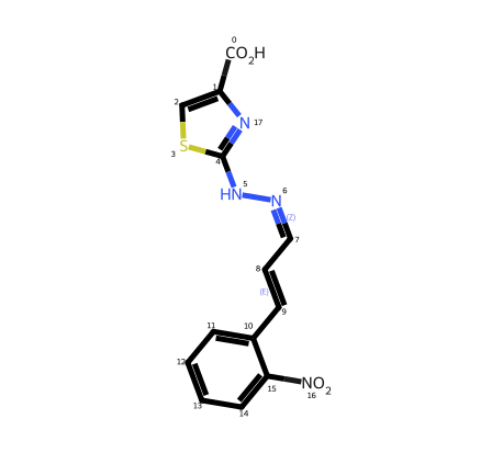 O=C(O)c1csc(N/N=C\C=C\c2ccccc2[N+](=O)[O-])n1